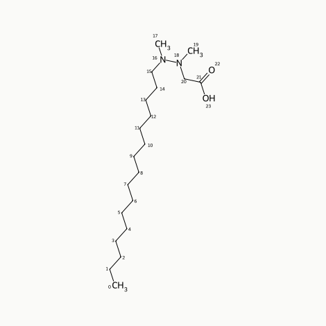 CCCCCCCCCCCCCCCCN(C)N(C)CC(=O)O